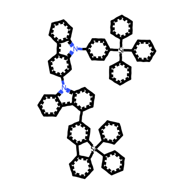 c1ccc([Si](c2ccccc2)(c2ccccc2)c2ccc(-n3c4ccccc4c4ccc(-n5c6ccccc6c6c(-c7ccc8c(c7)[Si](c7ccccc7)(c7ccccc7)c7ccccc7-8)cccc65)cc43)cc2)cc1